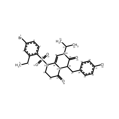 CCc1cc(Br)ccc1S(=O)(=O)N1CCC(=O)N2C1=CN(C(C)C)C(=O)C2Cc1ccc(Cl)cc1